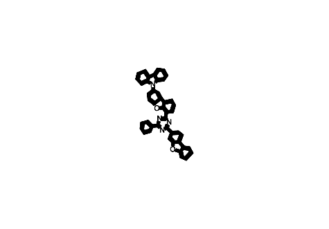 c1ccc(-c2nc(-c3ccc4c(c3)oc3ccccc34)nc(-c3cccc4c3oc3ccc(-n5c6ccccc6c6ccccc65)cc34)n2)cc1